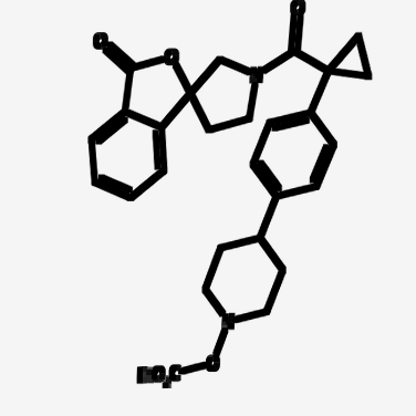 CCOC(=O)ON1CCC(c2ccc(C3(C(=O)N4CCC5(C4)OC(=O)c4ccccc45)CC3)cc2)CC1